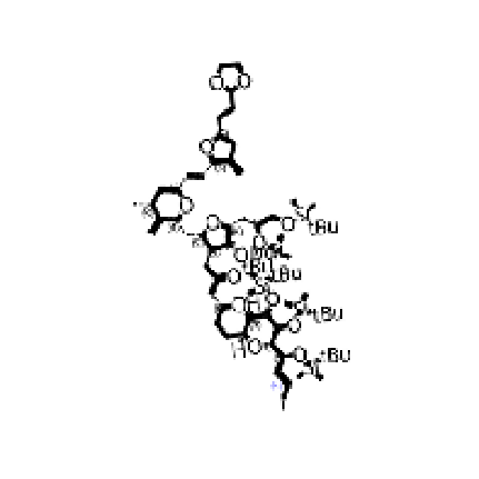 C=C1C[C@H](CCC2OCCO2)O[C@H]1CC[C@H]1C[C@@H](C)C(=C)[C@@H](C[C@@H]2O[C@H](C[C@@H](CO[Si](C)(C)C(C)(C)C)O[Si](C)(C)C(C)(C)C)[C@H](OC)[C@H]2CC(=O)C[C@H]2CC[C@@H]3O[C@@H]([C@H](/C=C/I)O[Si](C)(C)C(C)(C)C)C(O[Si](C)(C)C(C)(C)C)C(O[Si](C)(C)C(C)(C)C)[C@H]3O2)O1